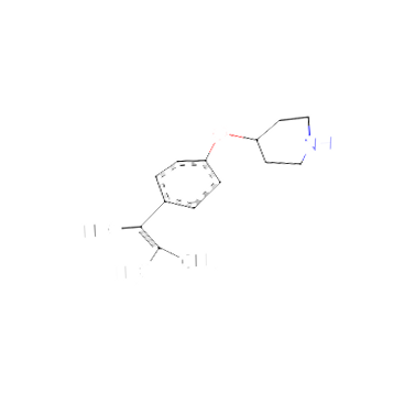 CC(C)=C(C)c1ccc(OC2CCNCC2)cc1